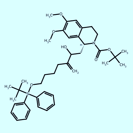 C=C(CCCCO[Si](c1ccccc1)(c1ccccc1)C(C)(C)C)C(O)C[C@@H]1c2cc(OC)c(OC)cc2CCN1C(=O)OC(C)(C)C